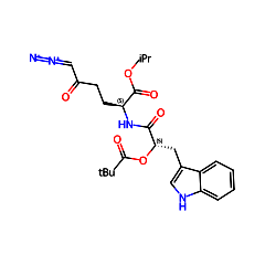 CC(C)OC(=O)[C@H](CCC(=O)C=[N+]=[N-])NC(=O)[C@H](Cc1c[nH]c2ccccc12)OC(=O)C(C)(C)C